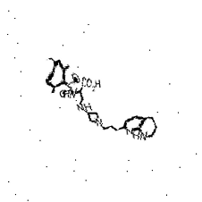 Cc1cc(C)c(S(=O)(=O)NC(CNC2CN(CCCc3ccc4c(n3)NCCC4)C2)C(=O)O)c(C)c1